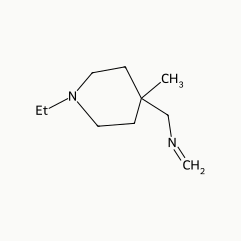 C=NCC1(C)CCN(CC)CC1